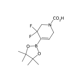 CC1(C)OB(C2=CCN(C(=O)O)CC2(F)F)OC1(C)C